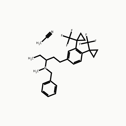 CC#N.CCC(CCc1ccc(C2(C(F)(F)F)CC2)c(C2(C(F)(F)F)CC2)c1)N(C)Cc1ccccc1